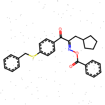 O=C(ON=C(CC1CCCC1)C(=O)c1ccc(SCc2ccccc2)cc1)c1ccccc1